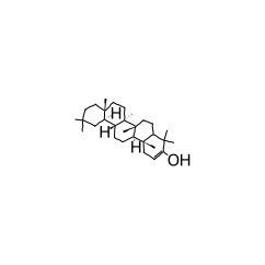 CC1(C)CC[C@]2(C)CC[C@]3(C)[C@H](CC[C@@H]4[C@@]5(C)CC=C(O)C(C)(C)C5CC[C@]43C)[C@H]2C1